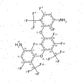 Nc1cc(F)c(C(F)(F)F)c(Oc2cc(Oc3c(F)c(N)cc(F)c3C(F)(F)F)c(C(F)(F)F)c(F)c2F)c1F